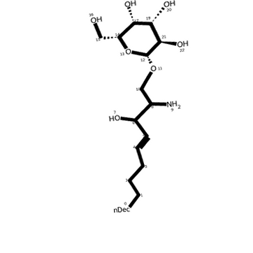 CCCCCCCCCCCCC/C=C/C(O)C(N)CO[C@@H]1O[C@H](CO)[C@H](O)[C@H](O)[C@H]1O